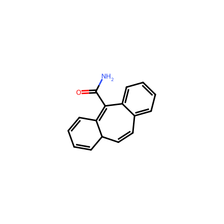 NC(=O)C1=C2C=CC=CC2C=Cc2ccccc21